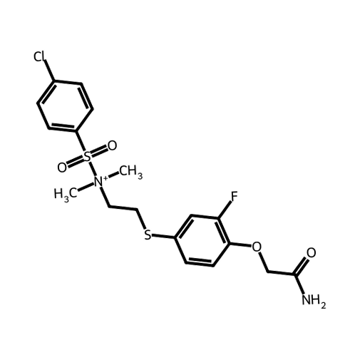 C[N+](C)(CCSc1ccc(OCC(N)=O)c(F)c1)S(=O)(=O)c1ccc(Cl)cc1